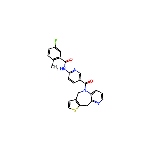 Cc1ccc(F)cc1C(=O)Nc1ccc(C(=O)N2Cc3ccsc3Cc3ncccc32)cn1